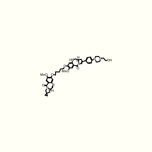 COc1cc2c(cc1OCCCCCOc1cc3c(cc1OC)C(=O)N1C=C(c4ccc(N5CCN(CCO)CC5)cc4)C[C@H]1CN3)N=C[C@@H]1CC3(CC3)CN1C2=O